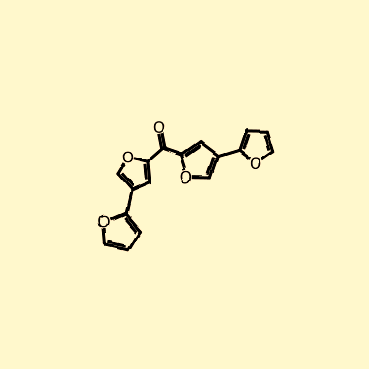 O=C(c1cc(-c2ccco2)co1)c1cc(-c2ccco2)co1